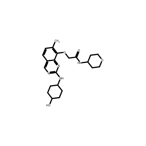 Cc1ccc2cnc(NC3CCC(O)CC3)nc2c1OCC(=O)NC1CCOCC1